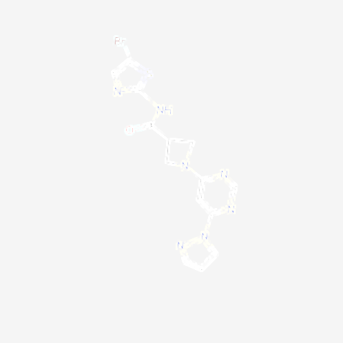 O=C(Nc1ncc(Br)s1)C1CN(c2cc(-n3cccn3)ncn2)C1